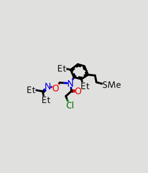 CCC(CC)=NOCN(C(=O)CCl)c1c(CC)ccc(CCSC)c1CC